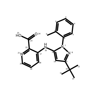 Cc1ccccc1-n1nc(C(C)(C)C)cc1Nc1cccnc1C(=O)O